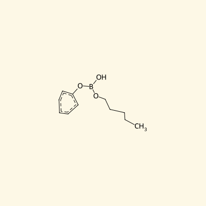 CCCCCOB(O)Oc1ccccc1